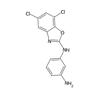 Nc1cccc(Nc2nc3cc(Cl)cc(Cl)c3o2)c1